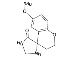 CCCCOc1ccc2c(c1)C1(CCO2)NCNC1=O